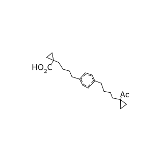 CC(=O)C1(CCCCc2ccc(CCCCC3(C(=O)O)CC3)cc2)CC1